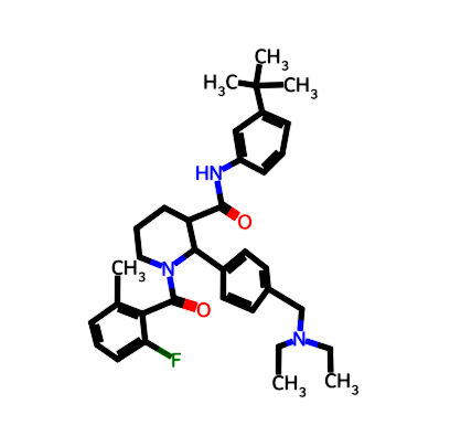 CCN(CC)Cc1ccc(C2C(C(=O)Nc3cccc(C(C)(C)C)c3)CCCN2C(=O)c2c(C)cccc2F)cc1